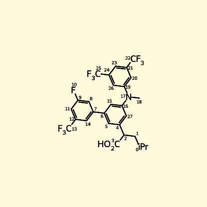 CC(C)CC(C(=O)O)c1cc(-c2cc(F)cc(C(F)(F)F)c2)cc(N(C)c2cc(C(F)(F)F)cc(C(F)(F)F)c2)c1